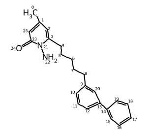 Cc1cc(CCCCCc2cccc(-c3ccccc3)c2)n(N)c(=O)c1